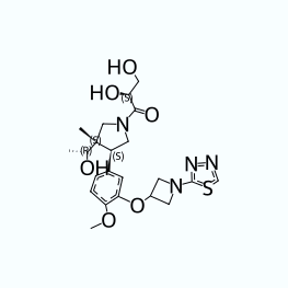 COc1ccc([C@@H]2CN(C(=O)[C@@H](O)CO)C[C@@]2(C)[C@@H](C)O)cc1OC1CN(c2nncs2)C1